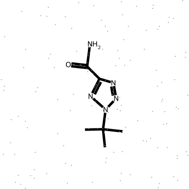 CC(C)(C)n1nnc(C(N)=O)n1